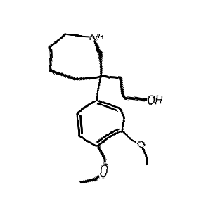 COc1ccc(C2(CCO)CCCCNC2)cc1OC